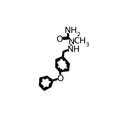 CN(NCc1ccc(Oc2ccccc2)cc1)C(N)=O